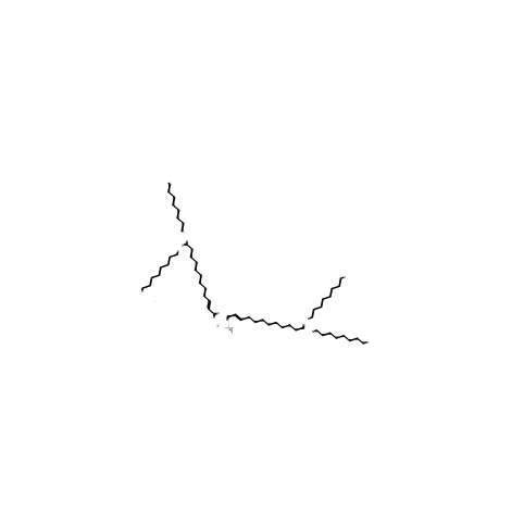 CCCCCCCCCOC(CCCCCCCCC=CC(OC)OC(C=CCCCCCCCCC(OCCCCCCCCC)OCCCCCCCCC)OC)OCCCCCCCCC